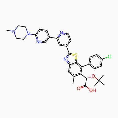 Cc1cc2nc(-c3ccnc(-c4ccc(N5CCN(C)CC5)nc4)c3)sc2c(-c2ccc(Cl)cc2)c1[C@H](OC(C)(C)C)C(=O)O